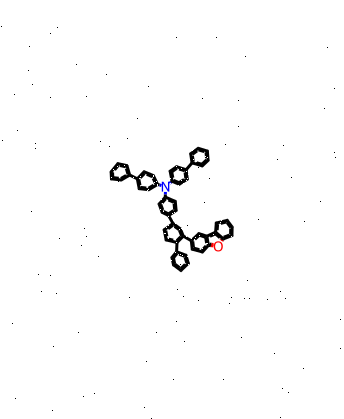 c1ccc(-c2ccc(N(c3ccc(-c4ccccc4)cc3)c3ccc(-c4ccc(-c5ccccc5)c(-c5ccc6oc7ccccc7c6c5)c4)cc3)cc2)cc1